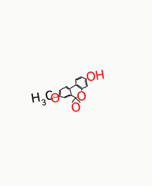 COc1ccc2c(c1)C1(COC1)Oc1cc(O)ccc1-2